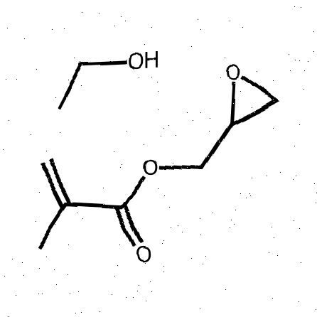 C=C(C)C(=O)OCC1CO1.CCO